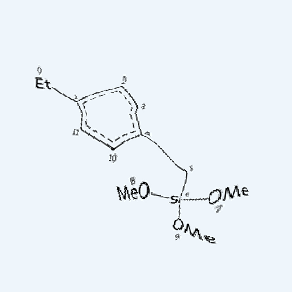 CCc1ccc(C[Si](OC)(OC)OC)cc1